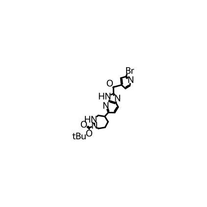 CC(C)(C)OC(=O)N1CCCC(c2ccc3nc(C(=O)c4ccnc(Br)c4)[nH]c3n2)CN1